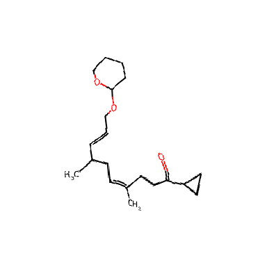 CC(=CCC(C)C=CCOC1CCCCO1)CCC(=O)C1CC1